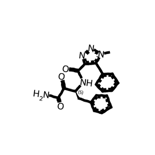 Cn1nnc(C(=O)N[C@@H](Cc2ccccc2)C(=O)C(N)=O)c1-c1ccccc1